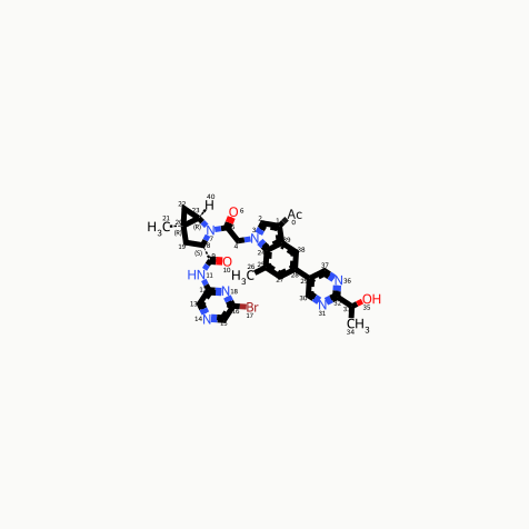 CC(=O)c1cn(CC(=O)N2[C@H](C(=O)Nc3cncc(Br)n3)C[C@@]3(C)C[C@@H]23)c2c(C)cc(-c3cnc(C(C)O)nc3)cc12